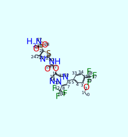 CCOc1cc(-c2cc(C(F)(F)F)n3ncc(OC(=O)Nc4nc(C)c(S(N)(=O)=O)s4)c3n2)ccc1C(F)(F)F